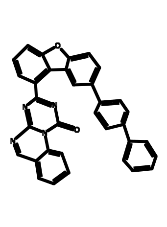 O=c1nc(-c2cccc3oc4ccc(-c5ccc(-c6ccccc6)cc5)cc4c23)nc2ncc3ccccc3n12